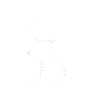 CCc1nc2c(C)cc(C)cc2[nH]1